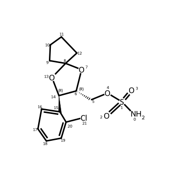 NS(=O)(=O)OC[C@H]1OC2(CCCC2)O[C@@H]1c1ccccc1Cl